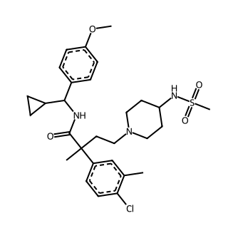 COc1ccc(C(NC(=O)C(C)(CCN2CCC(NS(C)(=O)=O)CC2)c2ccc(Cl)c(C)c2)C2CC2)cc1